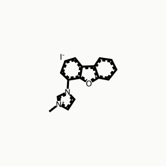 C[n+]1ccn(-c2cccc3c2oc2ccccc23)c1.[I-]